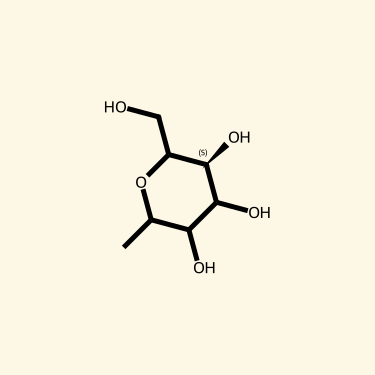 CC1OC(CO)[C@@H](O)C(O)C1O